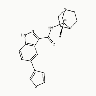 O=C(N[C@@H]1CN2CCC1CC2)c1n[nH]c2ccc(-c3ccsc3)cc12